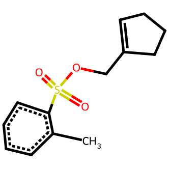 Cc1ccccc1S(=O)(=O)OCC1=CCCC1